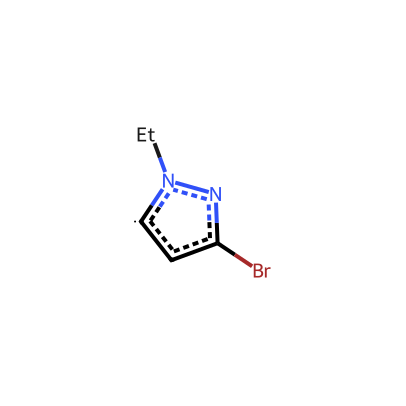 CCn1[c]cc(Br)n1